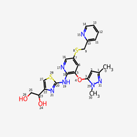 Cc1cc(Oc2cc(SCc3ccccn3)cnc2Nc2nc(C(O)CO)cs2)n(C)n1